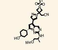 CCS(=O)(=O)N1CC(CC#N)(n2cc(-c3cc([C@H]4CC[C@H](O)CC4)n4nc(N[C@@H](C)COC)ncc34)cn2)C1